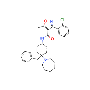 Cc1onc(-c2ccccc2Cl)c1C(=O)NC1CCC(Cc2ccccc2)(N2CCCCCC2)CC1